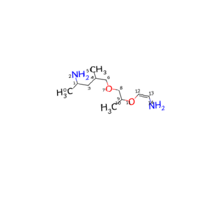 CC(N)CC(C)COCC(C)O/C=C\N